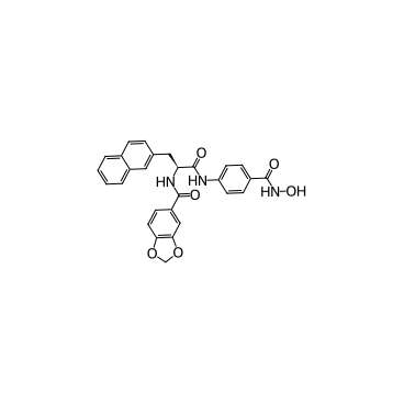 O=C(NO)c1ccc(NC(=O)[C@H](Cc2ccc3ccccc3c2)NC(=O)c2ccc3c(c2)OCO3)cc1